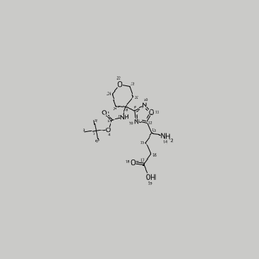 CC(C)(C)OC(=O)NC1(c2noc(C(N)CCC(=O)O)n2)CCOCC1